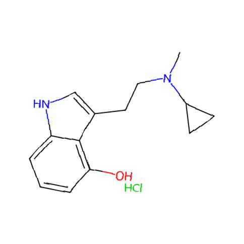 CN(CCc1c[nH]c2cccc(O)c12)C1CC1.Cl